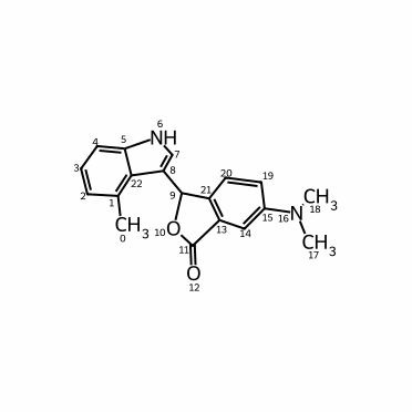 Cc1cccc2[nH]cc(C3OC(=O)c4cc(N(C)C)ccc43)c12